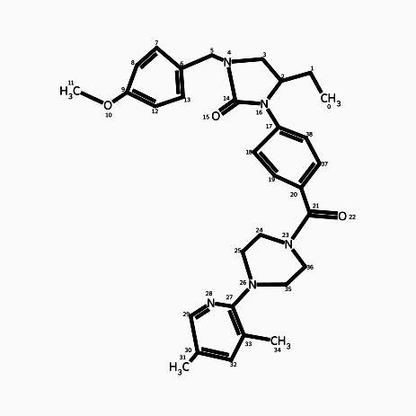 CCC1CN(Cc2ccc(OC)cc2)C(=O)N1c1ccc(C(=O)N2CCN(c3ncc(C)cc3C)CC2)cc1